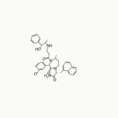 CC(NCCC(=O)N1C(C)CCN([C@H](Cc2cccc3ccccc23)C(N)=O)C(=O)C1c1cccc(Cl)c1)C(O)c1ccccc1